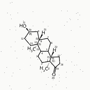 C[C@]12CCC3C(CC[C@H]4C[C@H](O)CC[C@]34C)[C@@H]1CCC2=O